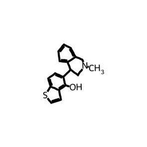 CN1Cc2ccccc2C(c2ccc3sccc3c2O)C1